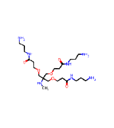 CNC(COCCC(=O)NCCCN)(COCCC(=O)NCCCN)COCCC(=O)NCCCN